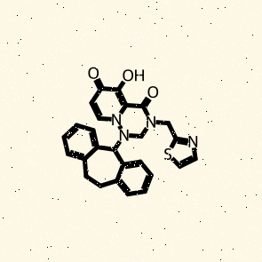 O=C1c2c(O)c(=O)ccn2N(C2c3ccccc3CCc3ccccc32)CN1Cc1nccs1